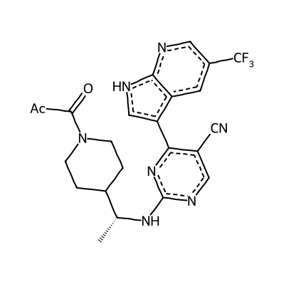 CC(=O)C(=O)N1CCC([C@@H](C)Nc2ncc(C#N)c(-c3c[nH]c4ncc(C(F)(F)F)cc34)n2)CC1